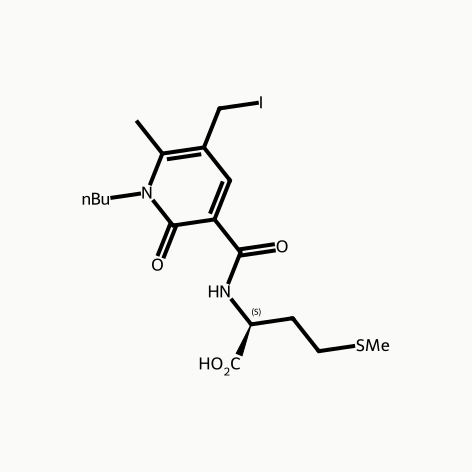 CCCCn1c(C)c(CI)cc(C(=O)N[C@@H](CCSC)C(=O)O)c1=O